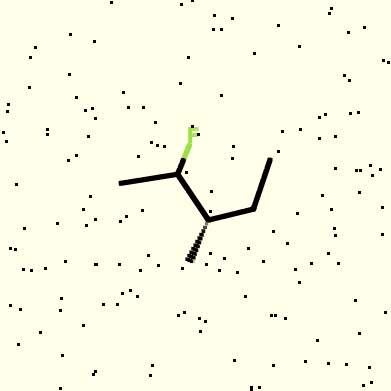 CC[C@H](C)C(C)F